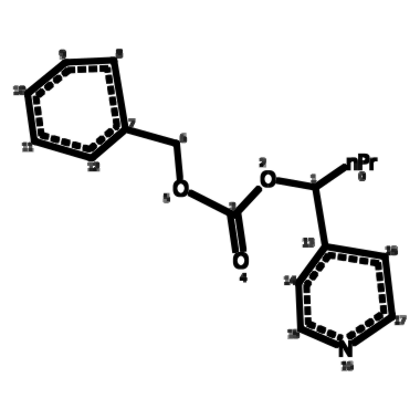 CCCC(OC(=O)OCc1ccccc1)c1ccncc1